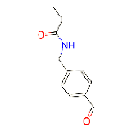 CCC(=O)NCc1ccc(C=O)cc1